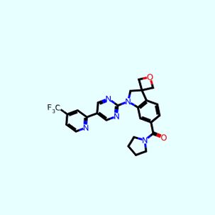 O=C(c1ccc2c(c1)N(c1ncc(-c3cc(C(F)(F)F)ccn3)cn1)CC21COC1)N1CCCC1